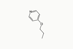 CCCOc1ccncc1